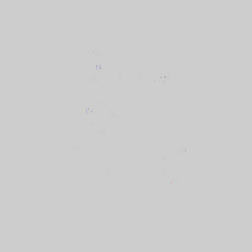 COc1ccc2c(c1)c(C(=O)NC1COc3ccc(-c4cccc(C(=O)OC(C)(C)C)c4)cc3O1)cn2C(C)=O